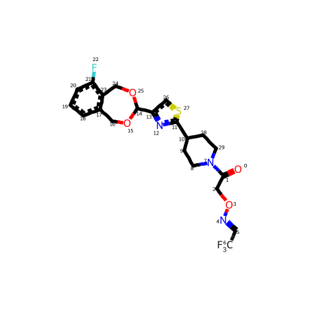 O=C(CO/N=C/C(F)(F)F)N1CCC(c2nc(C3OCc4cccc(F)c4CO3)cs2)CC1